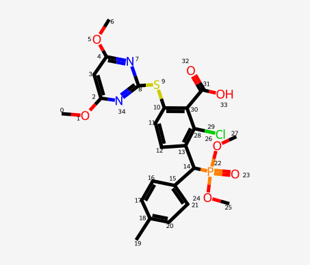 COc1cc(OC)nc(Sc2ccc(C(c3ccc(C)cc3)P(=O)(OC)OC)c(Cl)c2C(=O)O)n1